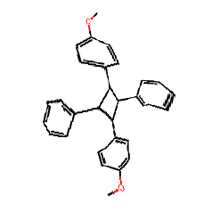 COc1ccc(C2C(c3ccccc3)C(c3ccc(OC)cc3)C2c2ccccc2)cc1